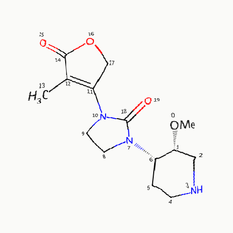 CO[C@@H]1CNCC[C@@H]1N1CCN(C2=C(C)C(=O)OC2)C1=O